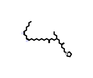 C=C(CCCCCCC/C=C\C/C=C\CCCCC)CCC(CCC)CCC(=C)CCCN1CCCC1